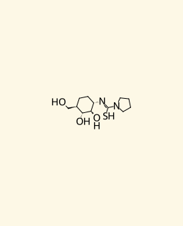 OC[C@H]1CC[C@H](/N=C(\S)N2CCCC2)[C@@H](O)[C@@H]1O